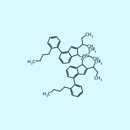 CCCCc1ccccc1-c1cccc2c1C=C(C(C)CC)[CH]2[Zr]([CH]1C(C(C)CC)=Cc2c(-c3ccccc3CCCC)cccc21)[SiH](C)C